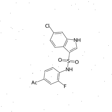 CC(=O)c1ccc(NS(=O)(=O)c2c[nH]c3cc(Cl)ccc23)c(F)c1